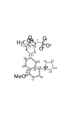 CC1(C)C2CCC1(CS(=O)(=O)[O-])C(=O)C2.COc1ccc([S+]2CCCC2)c2ccccc12